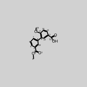 COC(=O)c1cccc(-c2cc(C(=O)O)ccc2OC)c1